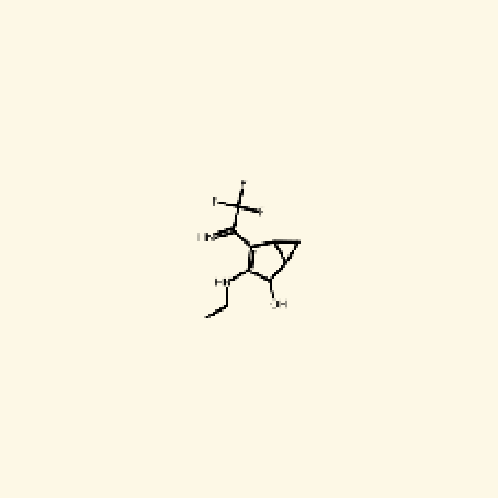 CCNC1=C(C(=N)C(F)(F)F)C2CC2C1O